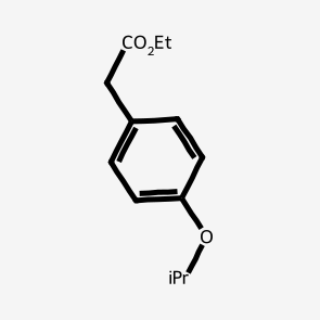 CCOC(=O)Cc1ccc(OC(C)C)cc1